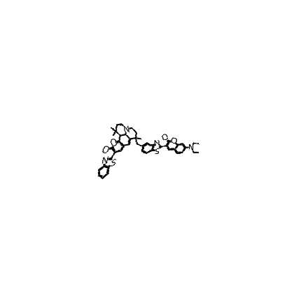 CCN(CC)c1ccc2cc(-c3nc4cc(CC5(C)CCN6CCC(C)(C)C7c8oc(=O)c(-c9nc%10ccccc%10s9)cc8C=C5C76)ccc4s3)c(=O)oc2c1